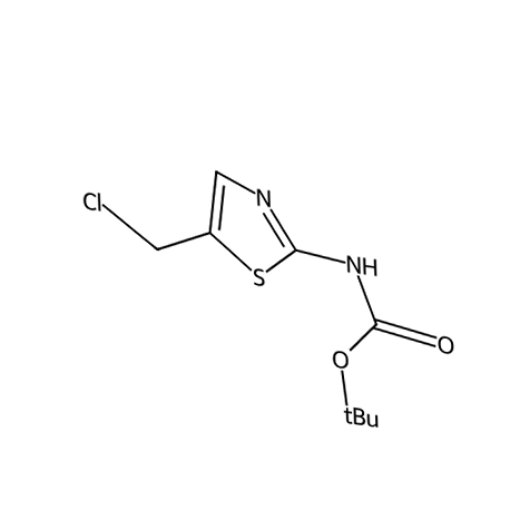 CC(C)(C)OC(=O)Nc1ncc(CCl)s1